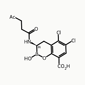 CC(=O)CCC(=O)N[C@H]1Cc2c(Cl)c(Cl)cc(C(=O)O)c2OB1O